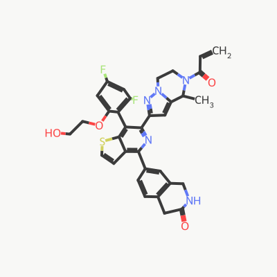 C=CC(=O)N1CCn2nc(-c3nc(-c4ccc5c(c4)CNC(=O)C5)c4ccsc4c3-c3c(F)cc(F)cc3OCCO)cc2C1C